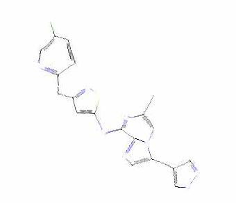 Cc1cn2c(-c3cn[nH]c3)cnc2c(Nc2cc(Cc3ccc(Cl)cn3)ns2)n1